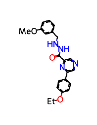 CCOc1ccc(-c2cncc(C(=O)NNCc3cccc(OC)c3)n2)cc1